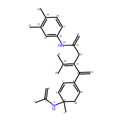 C=C(C)NC1(C)C=CC(C(=C)C(CC(=C)Nc2ccc(C)c(C)c2)=C(C)C)=CC1